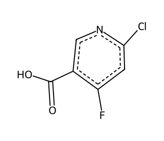 O=C(O)c1cnc(Cl)cc1F